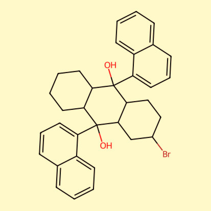 OC1(c2cccc3ccccc23)C2CCCCC2C(O)(c2cccc3ccccc23)C2CC(Br)CCC21